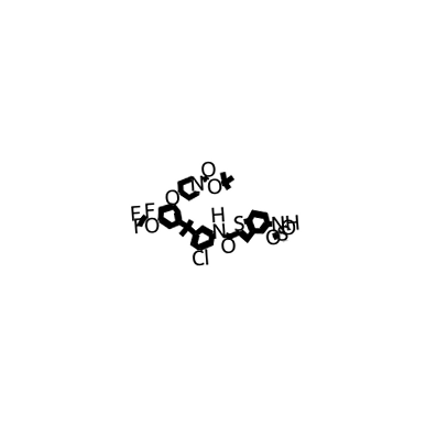 CC(C)(C)OC(=O)N1CCC(Oc2cc(OC(F)(F)F)cc(C(C)(C)c3cc(Cl)cc(NC(=O)c4cc5cc(NS(C)(=O)=O)ccc5s4)c3)c2)CC1